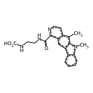 Cc1c2ccnc(C(=O)NCCNC(=O)O)c2cc2c3ccccc3n(C)c12